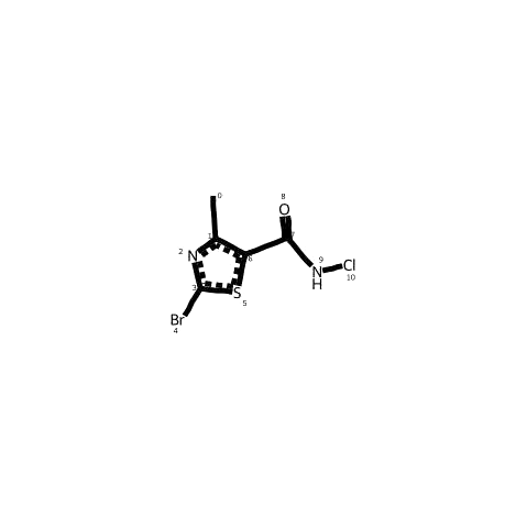 Cc1nc(Br)sc1C(=O)NCl